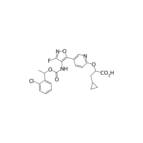 CC(OC(=O)Nc1c(F)noc1-c1ccc(OC(CC2CC2)C(=O)O)nc1)c1ccccc1Cl